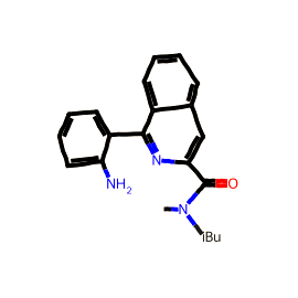 CCC(C)N(C)C(=O)c1cc2ccccc2c(-c2ccccc2N)n1